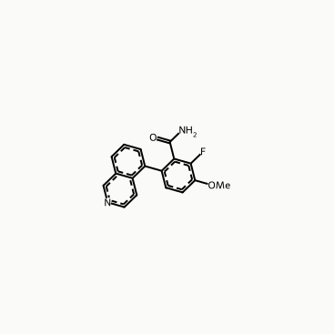 COc1ccc(-c2cccc3cnccc23)c(C(N)=O)c1F